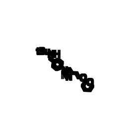 CC(C)(C)NCc1ccc(-n2cc(CCOC3CCCCO3)nn2)cc1